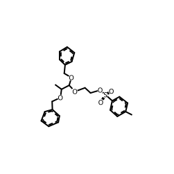 Cc1ccc(S(=O)(=O)OCCOC(OCc2ccccc2)C(C)OCc2ccccc2)cc1